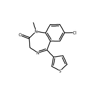 CN1C(=O)CN=C(c2ccsc2)c2cc(Cl)ccc21